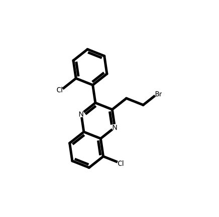 Clc1ccccc1-c1nc2cccc(Cl)c2nc1CCBr